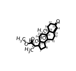 COC(=O)[C@@H](C)C1CCC2C3CCC4=CC(=O)CC[C@]4(C)[C@@]3(O)CC[C@@]21C